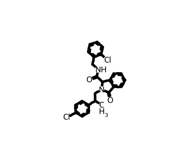 CC(CN1C(=O)c2ccccc2C1C(=O)NCc1ccccc1Cl)c1ccc(Cl)cc1